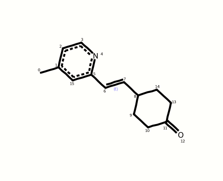 Cc1ccnc(/C=C/C2CCC(=O)CC2)c1